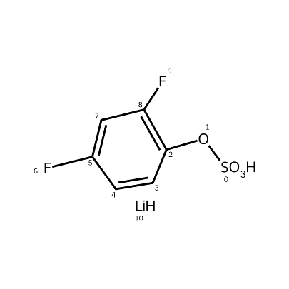 O=S(=O)(O)Oc1ccc(F)cc1F.[LiH]